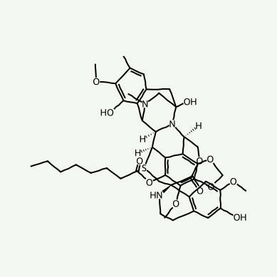 CCCCCCCC(=O)Oc1c(OC)c2c(c3c1[C@H]1SC[C@]4(NCCc5cc(O)c(OC)cc54)C(=O)OC[C@@H]3N3[C@@H]1C1c4c(cc(C)c(OC)c4O)CC3(O)CN1C)OCO2